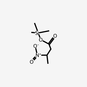 CC(CC(=O)O[Si](C)(C)C)[N+](=O)[O-]